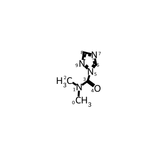 CN(C)C(=O)n1cncn1